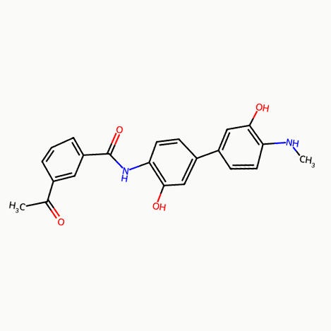 CNc1ccc(-c2ccc(NC(=O)c3cccc(C(C)=O)c3)c(O)c2)cc1O